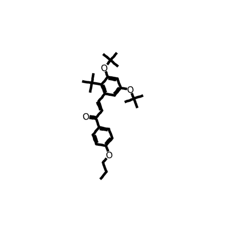 CCCOc1ccc(C(=O)C=Cc2cc(OC(C)(C)C)cc(OC(C)(C)C)c2C(C)(C)C)cc1